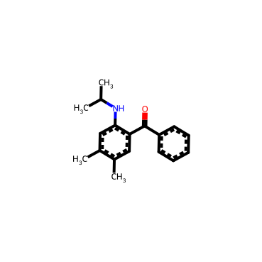 Cc1cc(NC(C)C)c(C(=O)c2ccccc2)cc1C